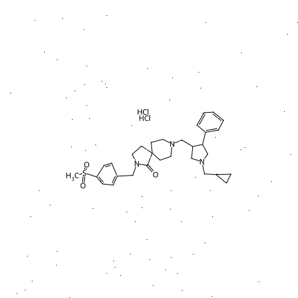 CS(=O)(=O)c1ccc(CN2CCC3(CCN(CC4CN(CC5CC5)CC4c4ccccc4)CC3)C2=O)cc1.Cl.Cl